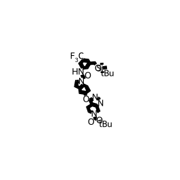 CC(C)(C)OC(=O)N1CCc2c(ncnc2Oc2ccc3c(ccn3C(=O)Nc3cc(CO[Si](C)(C)C(C)(C)C)cc(C(F)(F)F)c3)c2)C1